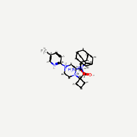 NC(=O)C12CC3CC(C1)C(NC(=O)C1(N4CCN(c5ccc(C(F)(F)F)cn5)CC4)CCC1)C(C3)C2